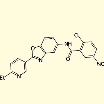 CCc1ccc(-c2nc3cc(NC(=O)c4cc([N+](=O)[O-])ccc4Cl)ccc3o2)cn1